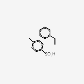 C=Cc1ccccc1.Cc1ccc(S(=O)(=O)O)cc1